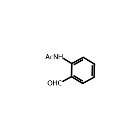 CC(=O)Nc1ccccc1C=O